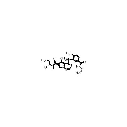 CC[C@@H](C)NC(=O)c1cn2ncnc(Nc3cc(C(=O)NOC)ccc3C)c2c1C